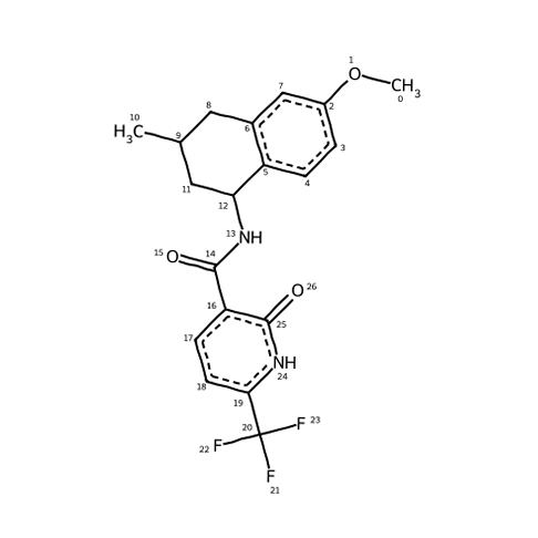 COc1ccc2c(c1)CC(C)CC2NC(=O)c1ccc(C(F)(F)F)[nH]c1=O